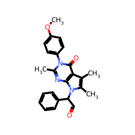 COc1ccc(-n2c(C)nc3c(c(C)c(C)n3C(C=O)c3ccccc3)c2=O)cc1